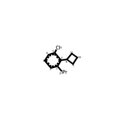 CC(C)c1cccc(Cl)c1C1CCC1